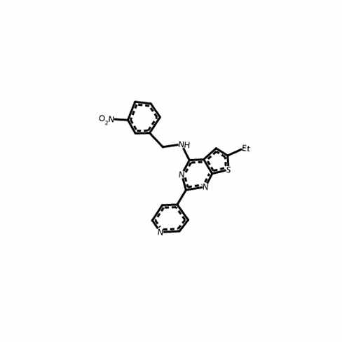 CCc1cc2c(NCc3cccc([N+](=O)[O-])c3)nc(-c3ccncc3)nc2s1